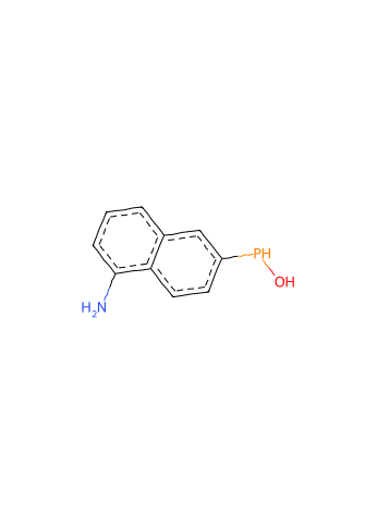 Nc1cccc2cc(PO)ccc12